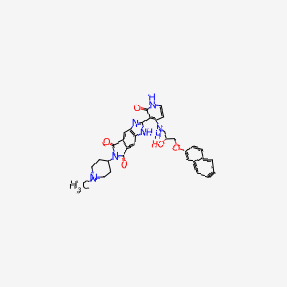 CN1CCC(N2C(=O)c3cc4nc(-c5c(NC[C@@H](O)COc6ccc7ccccc7c6)cc[nH]c5=O)[nH]c4cc3C2=O)CC1